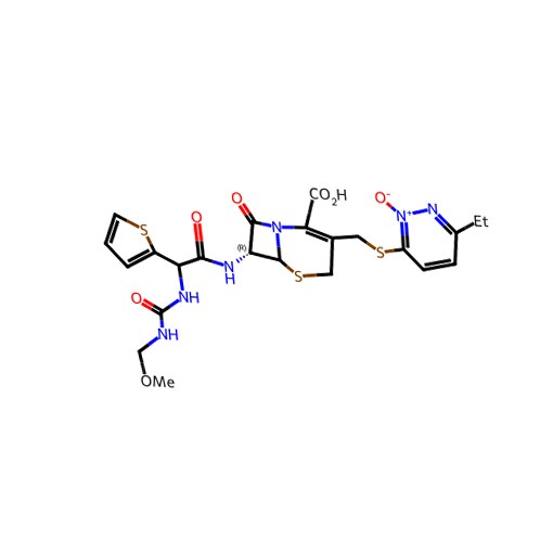 CCc1ccc(SCC2=C(C(=O)O)N3C(=O)[C@@H](NC(=O)C(NC(=O)NCOC)c4cccs4)C3SC2)[n+]([O-])n1